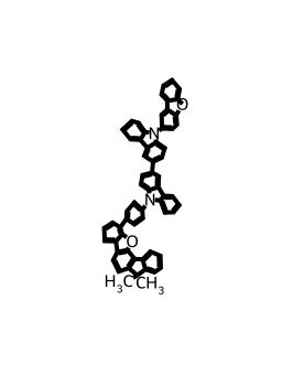 CC1(C)c2ccccc2-c2c1ccc1c2oc2c(-c3ccc(-n4c5ccccc5c5cc(-c6ccc7c(c6)c6ccccc6n7-c6ccc7oc8ccccc8c7c6)ccc54)cc3)cccc21